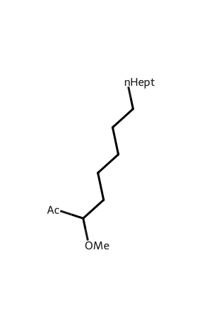 CCCCCCCCCCCCC(OC)C(C)=O